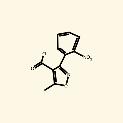 Cc1onc(-c2ccccc2[N+](=O)[O-])c1C(=O)Cl